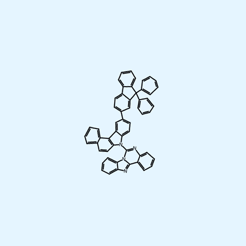 c1ccc(C2(c3ccccc3)c3ccccc3-c3ccc(-c4ccc5c(c4)c4c6ccccc6ccc4n5-c4nc5ccccc5c5nc6ccccc6n45)cc32)cc1